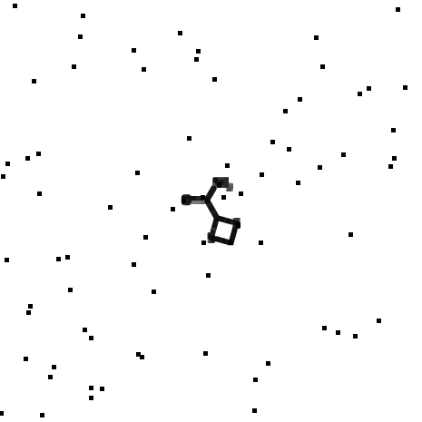 NC(=O)C1SCS1